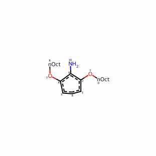 CCCCCCCCOc1cccc(OCCCCCCCC)c1N